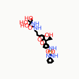 O=C(NCCCc1cc(O)c(C(c2cccc(NS(=O)(=O)c3nc4ccccc4[nH]3)c2)C2CC2)c(=O)o1)NC(CO)(CO)CO